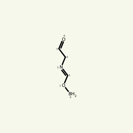 BOC=NCC=O